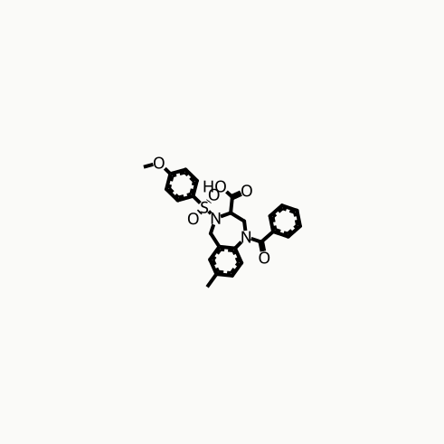 COc1ccc(S(=O)(=O)N2Cc3cc(C)ccc3N(C(=O)c3ccccc3)CC2C(=O)O)cc1